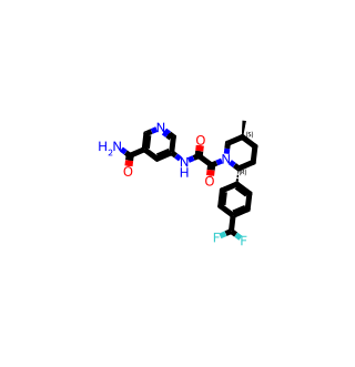 C[C@H]1CC[C@H](c2ccc(C(F)F)cc2)N(C(=O)C(=O)Nc2cncc(C(N)=O)c2)C1